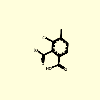 Cc1ccc(C(=O)O)c(C(=O)O)c1Cl